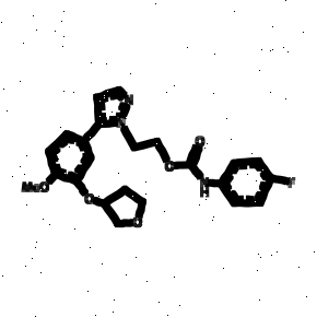 COc1ccc(-c2ccnn2CCOC(=O)Nc2ccc(F)cc2)cc1OC1CCOC1